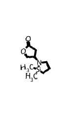 C[Si]1(C)CCCN1C1COC(=O)C1